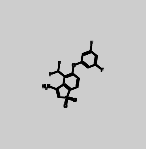 NC1=CS(=O)(=O)c2ccc(Oc3cc(F)cc(F)c3)c(C(F)F)c21